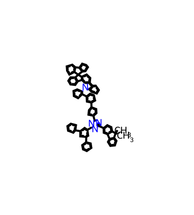 CC1(C)c2ccccc2-c2cc(-c3nc(-c4ccc(-c5cccc(-c6ccccc6-n6c7ccccc7c7ccc8c(c76)-c6ccccc6C86c7ccccc7-c7ccccc76)c5)cc4)nc(-c4cc(-c5ccccc5)cc(-c5ccccc5)c4)n3)ccc21